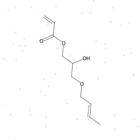 C=CC(=O)OCC(O)COC/C=C/C